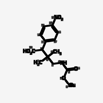 CC(C)(C)OC(=O)NCC(C)(C)C(C(=O)O)c1ccc([N+](=O)[O-])cc1